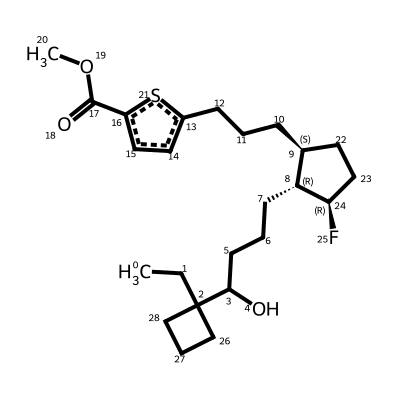 CCC1(C(O)CCC[C@@H]2[C@@H](CCCc3ccc(C(=O)OC)s3)CC[C@H]2F)CCC1